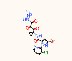 NNC(=O)C(=O)C(=O)C1(NC(=O)c2cc(Br)nn2-c2ncccc2Cl)CC1